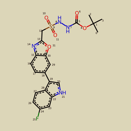 CC(C)(C)OC(=O)NNS(=O)(=O)Cc1nc2ccc(-c3c[nH]c4cc(F)ccc34)cc2o1